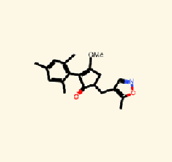 COC1=C(c2c(C)cc(C)cc2C)C(=O)C(Cc2cnoc2C)C1